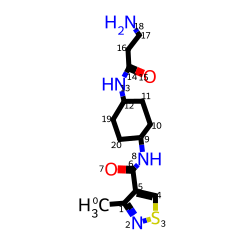 Cc1nscc1C(=O)NC1CCC(NC(=O)CCN)CC1